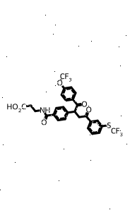 O=C(O)CCNC(=O)c1ccc(C(CC(=O)c2cccc(SC(F)(F)F)c2)C(=O)c2ccc(OC(F)(F)F)cc2)cc1